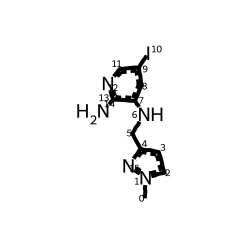 Cn1ccc(CNc2cc(I)cnc2N)n1